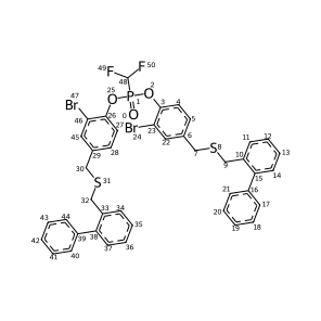 O=P(Oc1ccc(CSCc2ccccc2-c2ccccc2)cc1Br)(Oc1ccc(CSCc2ccccc2-c2ccccc2)cc1Br)C(F)F